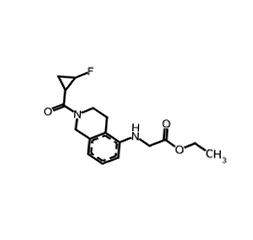 CCOC(=O)CNc1cccc2c1CCN(C(=O)C1CC1F)C2